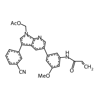 C=CC(=O)Nc1cc(OC)cc(-c2cnc3c(c2)c(-c2cccc(C#N)c2)cn3COC(C)=O)c1